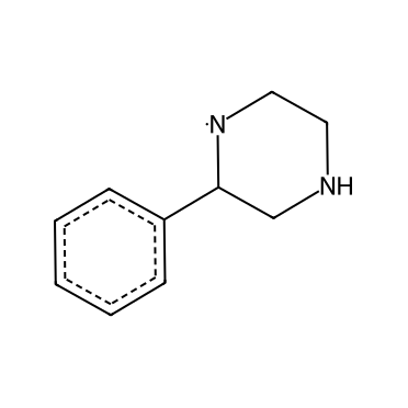 c1ccc(C2CNCC[N]2)cc1